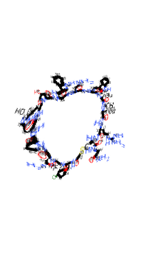 CCCC[C@H]1C(=O)N(C)[C@@H](CCCC)C(=O)N[C@@H](CCCNC(=N)N)C(=O)N[C@H](C(=O)NCC(N)=O)CSCC(=O)N[C@@H](Cc2ccc(Cl)cc2)C(=O)N(C)[C@@H](C)C(=O)N[C@@H](CC(N)=O)C(=O)N2CCC[C@H]2C(=O)N[C@@H](Cc2cnc[nH]2)C(=O)N[C@@H](CCC(=O)O)C(=O)N2C[C@H](O)C[C@H]2C(=O)N[C@@H](Cc2c[nH]c3ccccc23)C(=O)N[C@@H](CCN)C(=O)N[C@@H](Cc2c[nH]c3ccccc23)C(=O)N1C